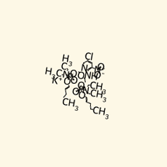 CCCC=COP(=O)(OCC(=O)Nc1ncc(Cl)cc1[N+](=O)[O-])N(CC)CC.CCCC=COP(=O)([O-])N(CC)CC.[K+]